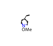 C=Cc1cc[n+](OC)cc1